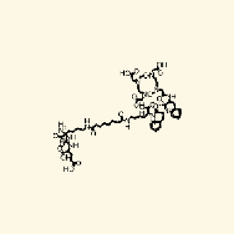 N[C@@](CCCCNC(=O)CCCCCCC(=O)NCCCCC(NC(=O)C(Cc1ccccc1)NC(=O)C(Cc1ccccc1)NC(=O)CN1CCN(CC(=O)O)CCN(CC(=O)O)CCN(CC(=O)O)CC1)C(=O)O)(NC(=O)NC(CCC(=O)O)C(=O)O)C(=O)O